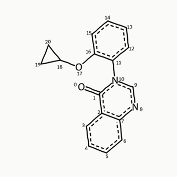 O=c1c2ccccc2ncn1-c1ccccc1OC1CC1